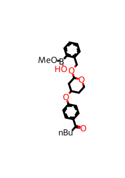 CCCCC(=O)c1ccc(OC2CCOC(OCc3ccccc3B(O)OC)C2)cc1